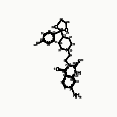 Nc1ccc2c(=O)n(CCN3CCC(C4(c5ccc(F)cc5)OCCO4)CC3)c(=S)[nH]c2c1